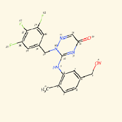 Cc1ccc(CO)cc1Nc1nc(=O)cnn1Cc1cc(F)c(F)c(F)c1